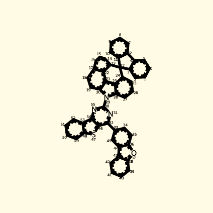 c1ccc2c(c1)-c1ccccc1C21c2cccc3ccc4c(c23)c2c1cccc2n4-c1nc(-c2ccc3oc4ccccc4c3c2)c2sc3ccccc3c2n1